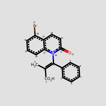 CC(C(=O)O)=C(c1ccccc1)n1c(=O)ccc2c(Br)cccc21